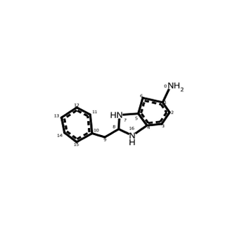 Nc1ccc2c(c1)NC(Cc1ccccc1)N2